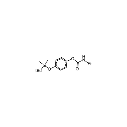 CCNC(=O)Oc1ccc(O[Si](C)(C)C(C)(C)C)cc1